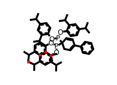 CC(C)c1ccc(OP(Oc2ccc(C(C)C)cc2C(C)C)C2(P(Oc3ccc(C(C)C)cc3C(C)C)Oc3ccc(C(C)C)cc3C(C)C)C=CC(c3ccccc3)=CC2)c(C(C)C)c1